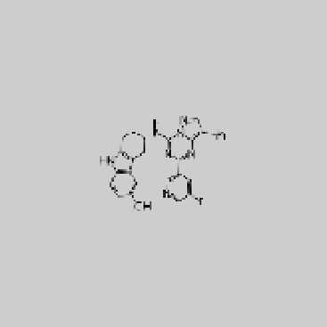 CC(C)c1cnn2c(N[C@H]3CCc4[nH]c5ccc(O)cc5c4C3)nc(-c3cncc(F)c3)nc12